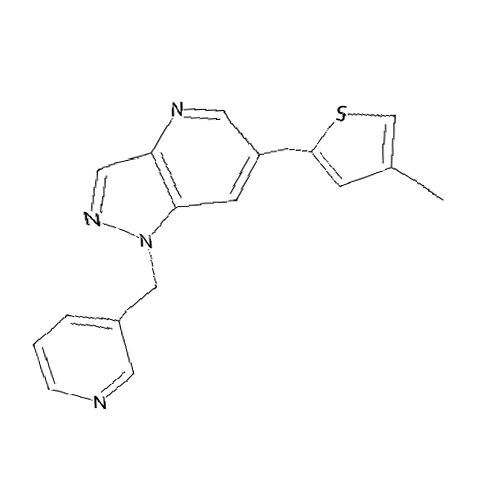 Cc1csc(-c2cnc3cnn(Cc4cccnc4)c3c2)c1